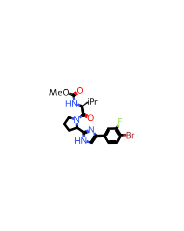 COC(=O)N[C@H](C(=O)N1CCCC1c1nc(-c2ccc(Br)c(F)c2)c[nH]1)C(C)C